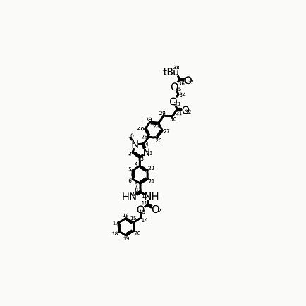 Cn1cc(-c2ccc(C(=N)NC(=O)OCc3ccccc3)cc2)nc1-c1ccc(CCC(=O)OCOC(=O)C(C)(C)C)cc1